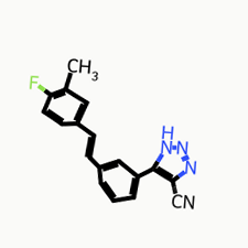 Cc1cc(C=Cc2cccc(-c3[nH]nnc3C#N)c2)ccc1F